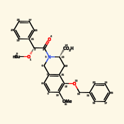 CCCCO[C@@H](C(=O)N1Cc2ccc(OC)c(OCc3ccccc3)c2C[C@H]1C(=O)O)c1ccccc1